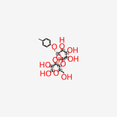 Cc1ccc(OC[C@H]2O[C@@H](O[C@H]3[C@H](O)[C@@H](O)[C@@H](O)O[C@@H]3CO)[C@H](O)[C@@H](O)[C@H]2O)cc1